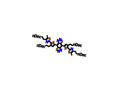 CCCCCCCCCCCCc1cc(-c2c3nnsc3c(-c3cc(CCCCCCCCCCCC)c(-c4nc(CCCCCCCCCCCC)c(C)s4)s3)c3nnsc23)sc1-c1nc(CCCCCCCCCCCC)c(C)s1